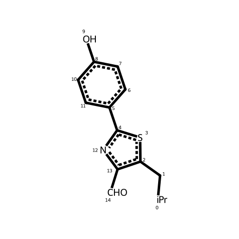 CC(C)Cc1sc(-c2ccc(O)cc2)nc1C=O